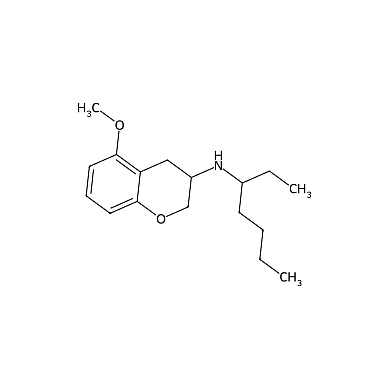 CCCCC(CC)NC1COc2cccc(OC)c2C1